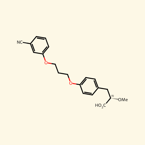 CO[C@@H](Cc1ccc(OCCCOc2cccc(C#N)c2)cc1)C(=O)O